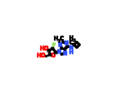 Cc1nc(NC2(C)CCC2)c2ncn([C@@H]3O[C@H](CO)[C@@H](O)[C@@H]3F)c2n1